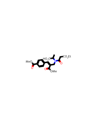 CCOC(=O)CC(=O)N(CC(=Cc1ccc(C(=O)OC)cc1)C(=O)OC)C(C)C(=O)O